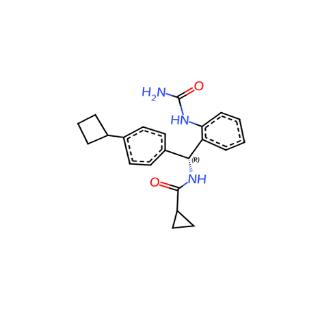 NC(=O)Nc1ccccc1[C@H](NC(=O)C1CC1)c1ccc(C2CCC2)cc1